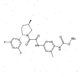 Cc1cc(NC(=O)C(=O)N2C[C@H](C)CC[C@H]2c2cc(F)cc(F)c2)cnc1NC(=O)OC(C)(C)C